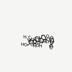 C[C@@H]1C[C@H](CO)O[C@H]2[C@H]1[C@@]1(C)CC[C@@]34C[C@@]35CC[C@H](O[C@H]3CN(C6COC6)CCO3)C(C)(C)[C@@H]5CC[C@H]4[C@]1(C)[C@H]2O